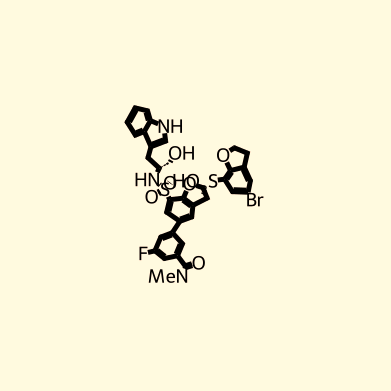 CNC(=O)c1cc(F)cc(-c2cc3c(c(S(=O)(=O)N[C@@H](CO)Cc4c[nH]c5ccccc45)c2)OCC3)c1.O=S(=O)(O)c1cc(Br)cc2c1OCC2